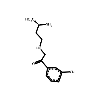 N#Cc1cccc(C(=O)CNCC[C@H](N)C(=O)O)c1